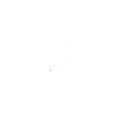 N#Cc1ccc(=O)n(-c2ccc(NC3CCCC3)nc2)c1